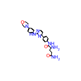 NC(=O)CC[C@H](N)C(=O)Nc1ccc(-c2ccnc(Nc3ccc(N4CCOCC4)cc3)n2)cc1